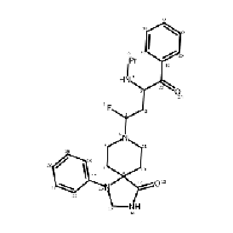 CC(C)NC(CC(F)N1CCC2(CC1)C(=O)NCN2c1ccccc1)C(=O)c1ccccc1